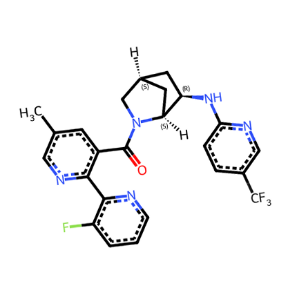 Cc1cnc(-c2ncccc2F)c(C(=O)N2C[C@H]3C[C@@H](Nc4ccc(C(F)(F)F)cn4)[C@@H]2C3)c1